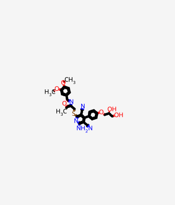 COc1ccc(-c2nc(CSc3nc(N)c(C#N)c(-c4ccc(OC[C@@H](O)CO)cc4)c3C#N)c(C)o2)cc1OC